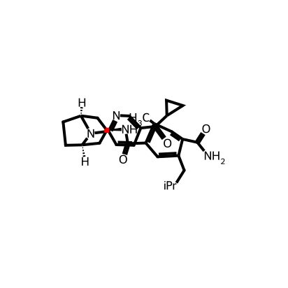 Cc1cc(C(N)=O)c(CC(C)C)cc1C(=O)N[C@H]1C[C@H]2CC[C@@H](C1)N2c1ccc(C(=O)C2CC2)cn1